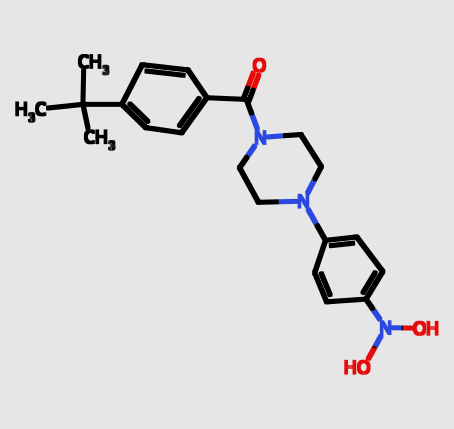 CC(C)(C)c1ccc(C(=O)N2CCN(c3ccc(N(O)O)cc3)CC2)cc1